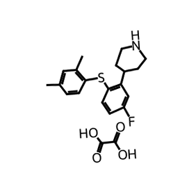 Cc1ccc(Sc2ccc(F)cc2C2CCNCC2)c(C)c1.O=C(O)C(=O)O